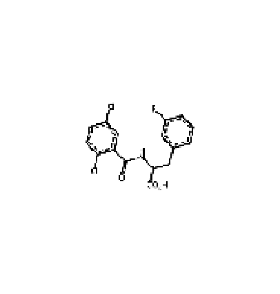 O=C(NC(Cc1cccc(F)c1)C(=O)O)c1cc(Cl)ccc1Cl